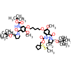 C=C1C[C@@H](CO[Si](C)(C)C(C)(C)C)N(C(=O)c2cc(OC)c(OCCCCCOc3cc(NC(=O)OC(C)(C)C)c(C(=O)N4CCC[C@H]4CO[Si](C)(C)C(C)(C)C)cc3OC)cc2NC(=O)OCC2(SSCC)CCCC2)C1